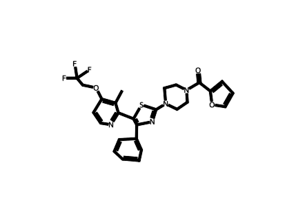 Cc1c(OCC(F)(F)F)ccnc1-c1sc(N2CCN(C(=O)c3ccco3)CC2)nc1-c1ccccc1